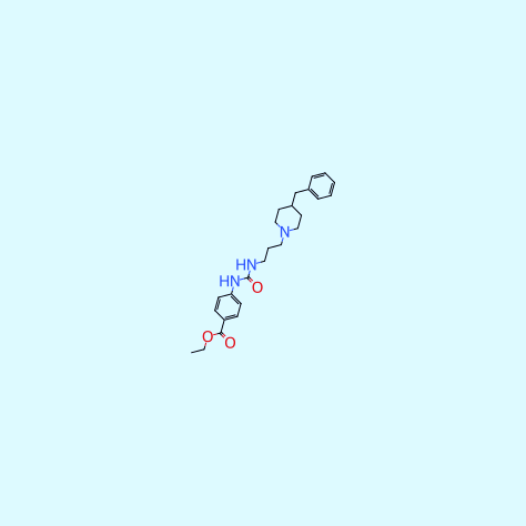 CCOC(=O)c1ccc(NC(=O)NCCCN2CCC(Cc3ccccc3)CC2)cc1